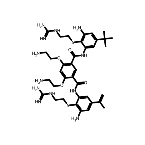 C=C(C)c1cc(N)c(SCCNC(=N)N)c(NC(=O)c2cc(C(=O)Nc3cc(C(C)(C)C)cc(N)c3SCCNC(=N)N)c(OCCN)cc2OCCN)c1